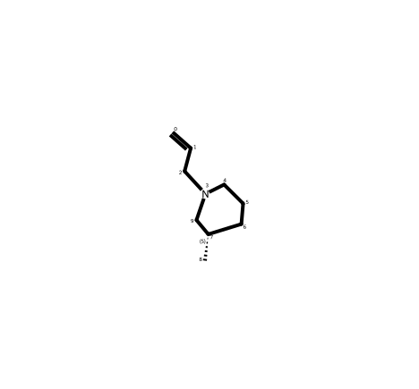 C=CCN1CCC[C@H](C)C1